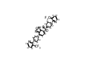 O=S(=O)(c1ccc(N2CCN(c3ncccc3C(F)(F)F)CC2)c2nonc12)N1CCN(c2ncccc2C(F)(F)F)CC1